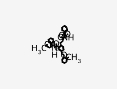 Cc1ccccc1OCc1ccc(CCC(=O)NS(=O)(=O)c2ccccc2)c(C(=O)NC(CC(C)C)c2ccccc2)c1